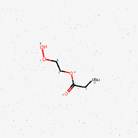 CC(C)(C)CC(=O)OCCOO